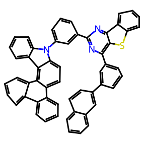 c1cc(-c2ccc3ccccc3c2)cc(-c2nc(-c3cccc(-n4c5ccccc5c5c6c7ccccc7c7ccccc7c6ccc54)c3)nc3c2sc2ccccc23)c1